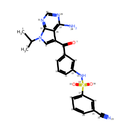 CC(C)n1cc(C(=O)c2cccc(NS(=O)(=O)c3cccc(C#N)c3)c2)c2c(N)ncnc21